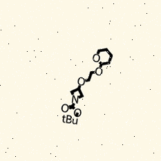 CC(C)(C)OC(=O)N1CC(OCCOC2CCCCO2)C1